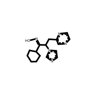 O/N=C(\C1CCCCC1)C(Cc1cnccn1)n1ccnc1